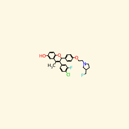 CC1=C(c2ccc(Cl)c(F)c2)C(c2ccc(OCCN3CCC(CF)C3)cc2)Oc2ccc(O)cc21